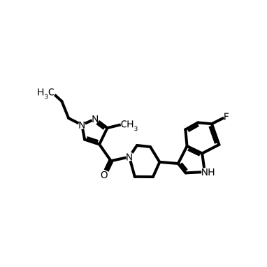 CCCn1cc(C(=O)N2CCC(c3c[nH]c4cc(F)ccc34)CC2)c(C)n1